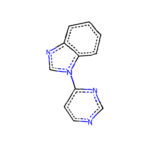 c1ccc2c(c1)ncn2-c1ccncn1